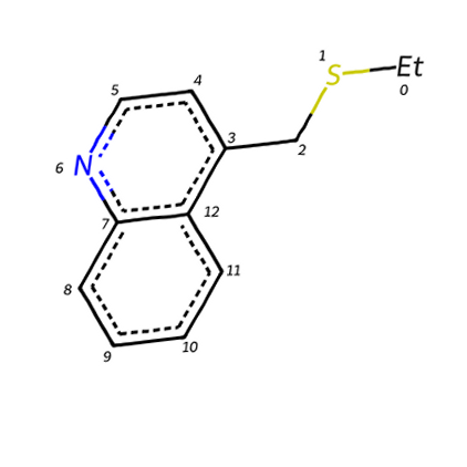 CCSCc1ccnc2ccccc12